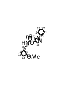 CCCc1c(OC(=O)NCCc2cccc(OC)c2)cnn1-c1ccccc1